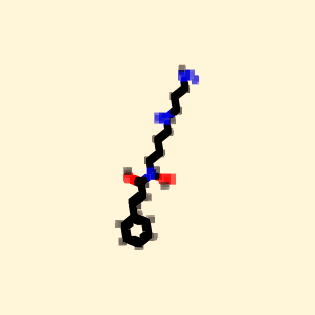 NCCCNCCCCN(O)C(=O)C=Cc1ccccc1